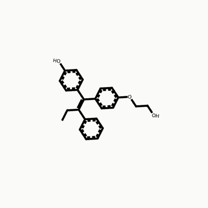 CC/C(=C(\c1ccc(O)cc1)c1ccc(OCCO)cc1)c1ccccc1